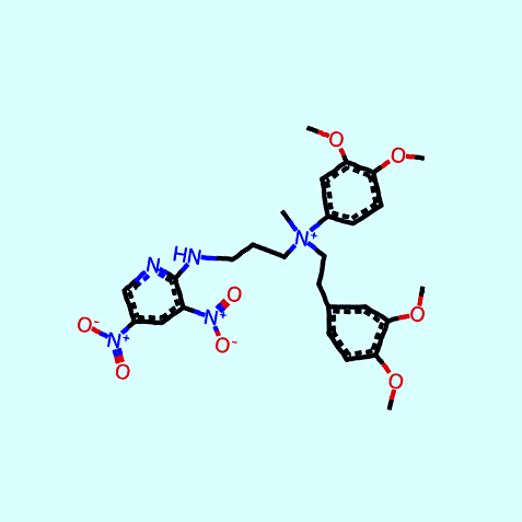 COc1ccc(CC[N+](C)(CCCNc2ncc([N+](=O)[O-])cc2[N+](=O)[O-])c2ccc(OC)c(OC)c2)cc1OC